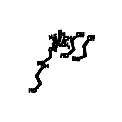 C=C.C=C.C=C.CCO.OCCO.OCCO.OCCO